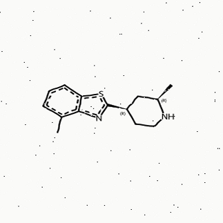 Cc1cccc2sc([C@@H]3CCN[C@H](C)C3)nc12